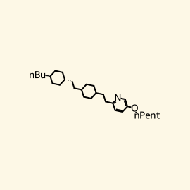 CCCCCOc1ccc(CCC2CCC(CC[C@H]3CC[C@H](CCCC)CC3)CC2)nc1